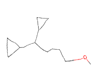 COCCCC(C1CC1)C1CC1